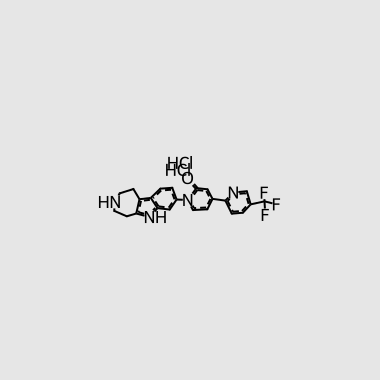 Cl.Cl.O=c1cc(-c2ccc(C(F)(F)F)cn2)ccn1-c1ccc2c3c([nH]c2c1)CCNCC3